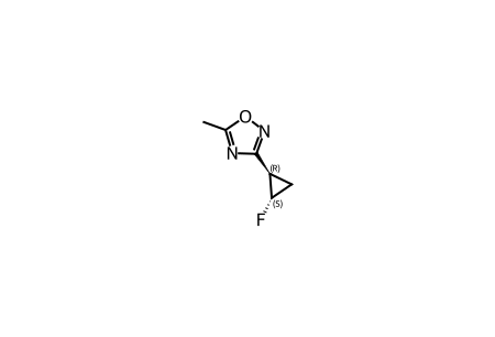 Cc1nc([C@H]2C[C@@H]2F)no1